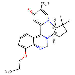 COCCOc1cccc2c1=NCN1C=2c2cc(=O)c(C(=O)O)cn2[C@@H]2[C@H]1CCC2(C)C